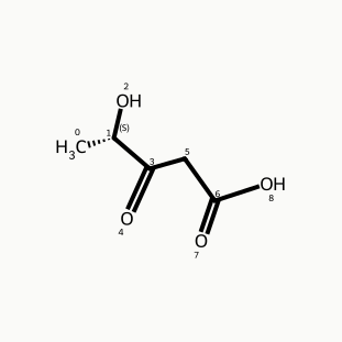 C[C@H](O)C(=O)CC(=O)O